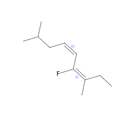 CC/C(C)=C(F)\C=C/CC(C)C